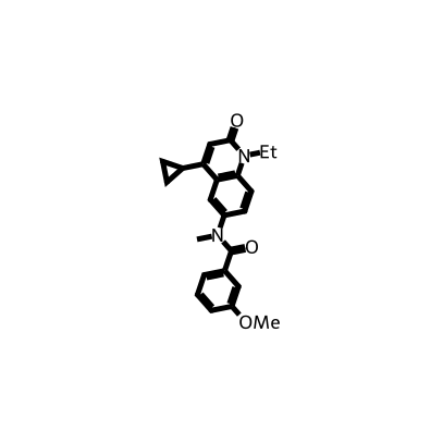 CCn1c(=O)cc(C2CC2)c2cc(N(C)C(=O)c3cccc(OC)c3)ccc21